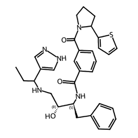 CCC(NC[C@@H](O)[C@H](Cc1ccccc1)NC(=O)c1cccc(C(=O)N2CCCC2c2cccs2)c1)c1cn[nH]c1